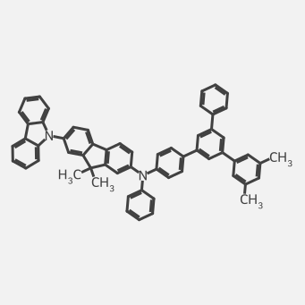 Cc1cc(C)cc(-c2cc(-c3ccccc3)cc(-c3ccc(N(c4ccccc4)c4ccc5c(c4)C(C)(C)c4cc(-n6c7ccccc7c7ccccc76)ccc4-5)cc3)c2)c1